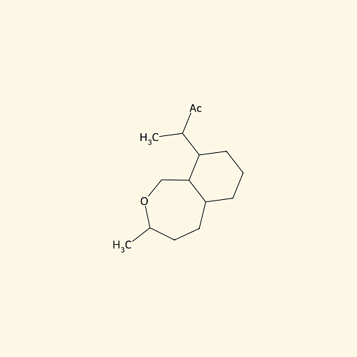 CC(=O)C(C)C1CCCC2CCC(C)OCC21